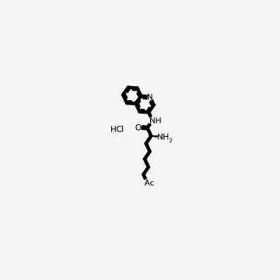 CC(=O)CCCCC[C@H](N)C(=O)Nc1cnc2ccccc2c1.Cl